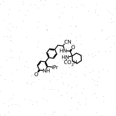 CC(C)c1[nH]c(=O)ccc1-c1ccc(CC(C#N)NC(=O)C2(NC(=O)O)CCCCC2)cc1